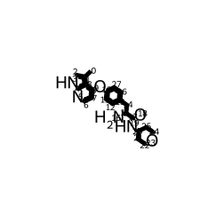 Cc1c[nH]c2nccc(Oc3ccc(CC(N)C(=O)NC4CCOCC4)cc3)c12